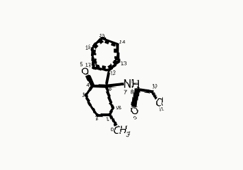 CC1CCC(=O)C(NC(=O)CCl)(c2ccccc2)C1